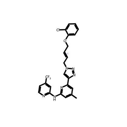 Cc1cc(Nc2cc(C(F)(F)F)ccn2)nc(-c2cn(C/C=C/COc3ccccc3Cl)nn2)c1